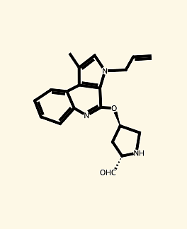 C=CCn1cc(C)c2c3ccccc3nc(O[C@H]3CN[C@H](C=O)C3)c21